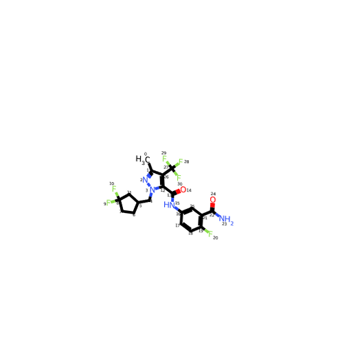 Cc1nn(CC2CCC(F)(F)C2)c(C(=O)Nc2ccc(F)c(C(N)=O)c2)c1C(F)(F)F